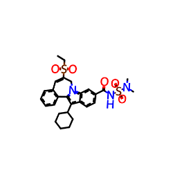 CCS(=O)(=O)C1=Cc2ccccc2-c2c(C3CCCCC3)c3ccc(C(=O)NS(=O)(=O)N(C)C)cc3n2C1